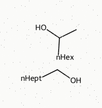 CCCCCCC(C)O.CCCCCCCCO